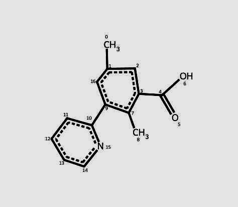 Cc1cc(C(=O)O)c(C)c(-c2ccccn2)c1